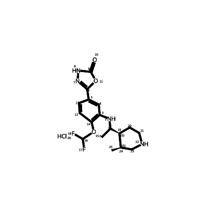 CC(Nc1cc(-c2n[nH]c(=O)o2)ccc1OC(F)F)[C@H]1CCNC[C@H]1C.Cl